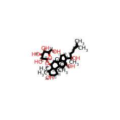 CC(C)=CCC[C@](C)(O)C1CC[C@]2(C)C1C(O)CC1[C@@]3(C)CCC(O)C(C)(C)C3C(OC3OC(CO)C(O)C(O)C3O)C[C@]12C